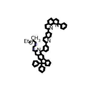 CCOC(C)/C=C\C=C/C1=NC(c2cccc(-c3ccc4cc(-c5ccc6ccc7ccc(-c8ccccc8)nc7c6n5)ccc4n3)c2)=C2C=C3C(=CC2C1)C(c1ccccc1)(c1ccccc1)c1ccccc13